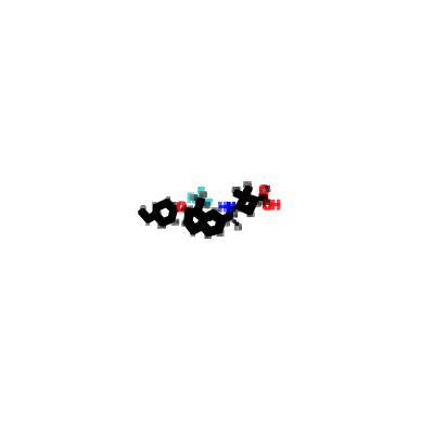 CCC1CCC(Oc2ccc3ccc([C@@H](C)N[C@H]4C[C@H](C(=O)O)C4(C)C)cc3c2C(F)(F)F)CC1